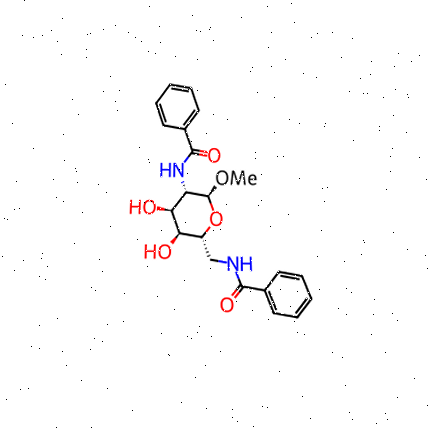 CO[C@H]1O[C@H](CNC(=O)c2ccccc2)[C@@H](O)[C@@H](O)[C@@H]1NC(=O)c1ccccc1